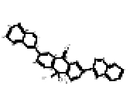 CC1(C)c2ccc(-c3ccc4ccccc4c3)cc2C(=O)c2cc(-c3ccc4ccccc4c3)ccc21